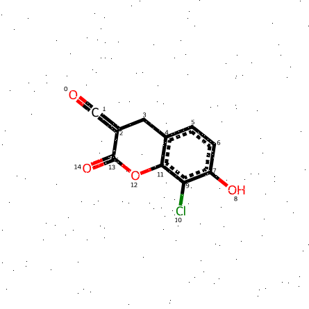 O=C=C1Cc2ccc(O)c(Cl)c2OC1=O